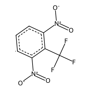 O=[N+]([O-])c1[c]ccc([N+](=O)[O-])c1C(F)(F)F